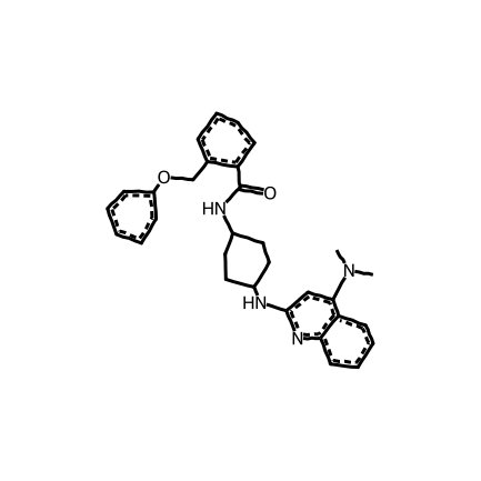 CN(C)c1cc(NC2CCC(NC(=O)c3ccccc3COc3ccccc3)CC2)nc2ccccc12